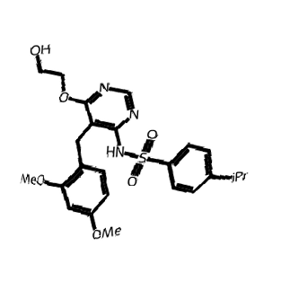 COc1ccc(Cc2c(NS(=O)(=O)c3ccc(C(C)C)cc3)ncnc2OCCO)c(OC)c1